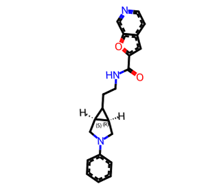 O=C(NCCC1[C@H]2CN(c3ccccc3)C[C@@H]12)c1cc2ccncc2o1